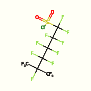 O=S(=O)(Cl)C(F)(F)C(F)(F)C(F)(F)C(F)(F)C(F)(C(F)(F)F)C(F)(F)F